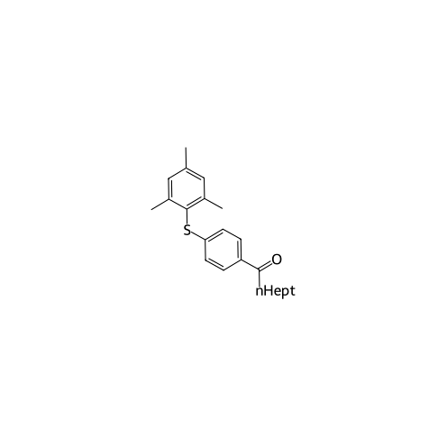 CCCCCCCC(=O)c1ccc(Sc2c(C)cc(C)cc2C)cc1